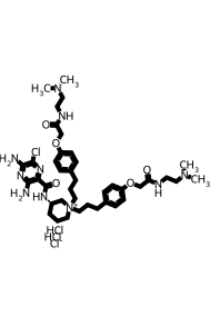 CN(C)CCNC(=O)COc1ccc(CCC[N+]2(CCCc3ccc(OCC(=O)NCCN(C)C)cc3)CCC[C@H](NC(=O)c3nc(Cl)c(N)nc3N)C2)cc1.Cl.Cl.[Cl-]